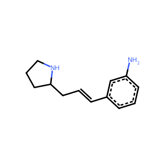 Nc1cccc(C=CCC2CCCN2)c1